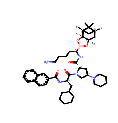 CC1(C)[C@@H]2C[C@H]3OB([C@H](CCCCN)NC(=O)[C@@H]4C[C@@H](N5CCCCC5)CN4C(=O)[C@@H](CC4CCCCC4)NC(=O)c4ccc5ccccc5c4)O[C@@]3(C)[C@H]1C2